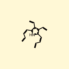 C=C/C=C\c1[nH]c(/C=C\C=C)c(C=C)c1C=C